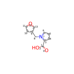 O=C(O)c1cccn1Cc1ccoc1